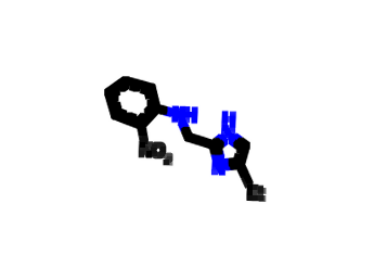 CCc1c[nH]c(CNc2ccccc2[N+](=O)[O-])n1